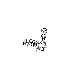 CC(C)(C)OC(=O)/N=C/C1C[C@@H](N2CCN(c3ncc(I)cn3)CC2)CO[C@@H]1c1cc(F)ccc1F